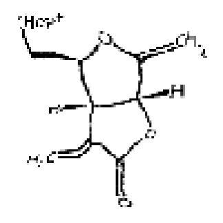 C=C1C(=O)O[C@H]2C(=C)O[C@H](CCCCCCCC)[C@@H]12